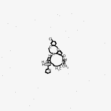 CO[C@@]1(C[C@H](O)c2ccccn2)/C=C/C[C@H](C)[C@@H](C)S(=O)(=O)NC(=O)c2ccc3c(c2)N(CCCCc2cc(Cl)ccc2CO3)C[C@@H]2CC[C@H]21